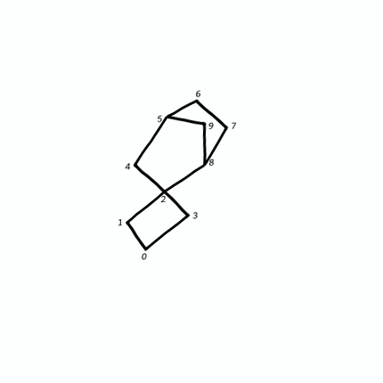 C1CC2(C1)CC1CCC2C1